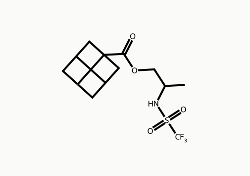 CC(COC(=O)C12CC3CC4CC(C1)C432)NS(=O)(=O)C(F)(F)F